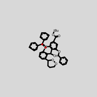 CC(C)(C)OC(=O)c1cc(OCc2ccccc2)c(C(O)c2c(OCc3ccccc3)cccc2C2CCCOO2)c(OCc2ccccc2)c1